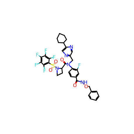 O=C(NOCc1ccccc1)c1ccc(N(Cc2cnc(C3CCCCC3)cn2)C(=O)C2CCN2S(=O)(=O)c2c(F)c(F)c(F)c(F)c2F)c(F)c1